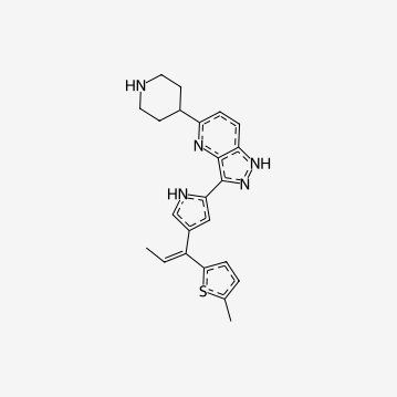 C/C=C(\c1c[nH]c(-c2n[nH]c3ccc(C4CCNCC4)nc23)c1)c1ccc(C)s1